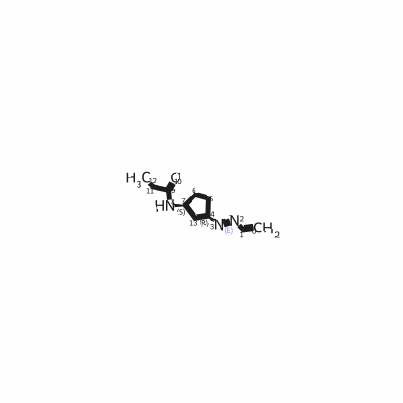 C=C/N=N/[C@@H]1CC[C@H](NC(=O)CC)C1